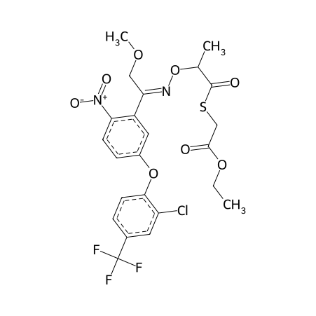 CCOC(=O)CSC(=O)C(C)ON=C(COC)c1cc(Oc2ccc(C(F)(F)F)cc2Cl)ccc1[N+](=O)[O-]